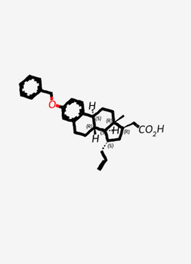 C=CC[C@H]1C[C@H](CC(=O)O)[C@@]2(C)CC[C@@H]3c4ccc(OCc5ccccc5)cc4CC[C@H]3[C@H]12